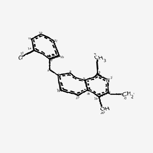 [CH2]c1nc(C)c2cc(Cc3ccccc3Cl)ccc2c1O